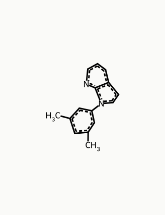 Cc1cc(C)cc(-n2ccc3cccnc32)c1